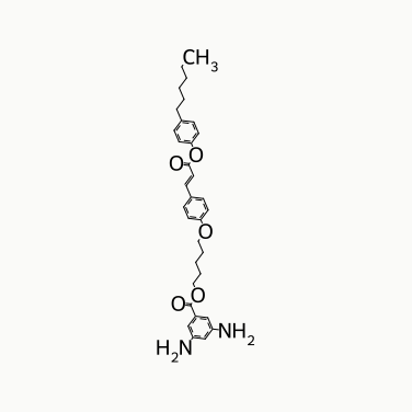 CCCCCCc1ccc(OC(=O)C=Cc2ccc(OCCCCCOC(=O)c3cc(N)cc(N)c3)cc2)cc1